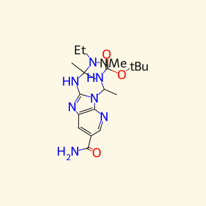 CCN(NC)C(C)(C)Nc1nc2cc(C(N)=O)cnc2n1C(C)NC(=O)OC(C)(C)C